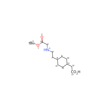 CC(C)(C)OC(=O)CNCCC1CCC(CC(=O)O)CC1